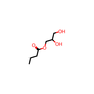 C[CH]CC(=O)OCC(O)CO